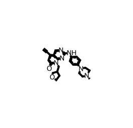 C#Cc1cc(=O)n(CC2CCOC2)c2nc(Nc3ccc(N4CCN(C)CC4)cc3)ncc12